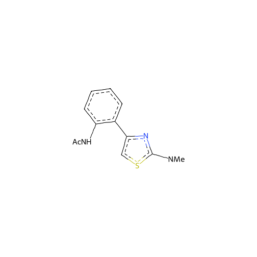 CNc1nc(-c2ccccc2NC(C)=O)cs1